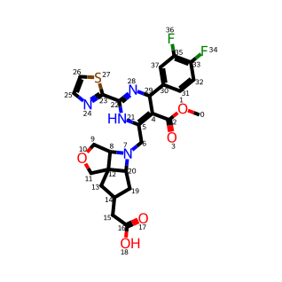 COC(=O)C1=C(CN2C3COCC34CC(CC(=O)O)CC24)NC(c2nccs2)=NC1c1ccc(F)c(F)c1